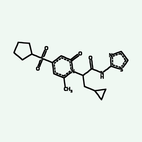 Cc1cc(S(=O)(=O)C2CCCC2)cc(=O)n1C(CC1CC1)C(=O)Nc1nccs1